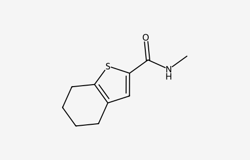 CNC(=O)c1cc2c(s1)CCCC2